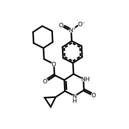 O=C1NC(C2CC2)=C(C(=O)OCC2CCCCC2)C(c2ccc([N+](=O)[O-])cc2)N1